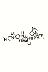 CCc1cc(Nc2ncc(Cl)c(Nc3ccc4nccnc4c3N(C)S(=O)(=O)C(F)(F)F)n2)c(OC)cc1N1CCC(N(C)C)CC1